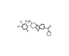 NC1Cn2c(nc3cc(C(=O)N4CCCC4)ccc32)C[C@@H]1c1cc(F)c(F)cc1F